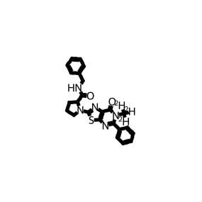 [2H]C([2H])([2H])n1c(-c2ccccc2)nc2sc(N3CCCC3C(=O)NCc3ccccc3)nc2c1=O